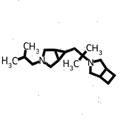 CC(C)CN1CC2C(C1)C2CC(C)(C)N1CC2CCC2C1